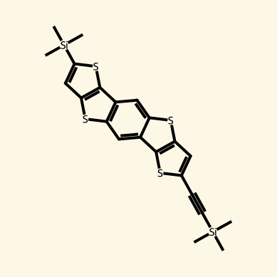 C[Si](C)(C)C#Cc1cc2sc3cc4c(cc3c2s1)sc1cc([Si](C)(C)C)sc14